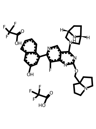 O=C(O)C(F)(F)F.O=C(O)C(F)(F)F.Oc1cc(-c2ncc3c(N4C[C@H]5CC[C@@H](C4)N5)nc(OCC45CCCN4CCC5)nc3c2F)c2ccccc2c1